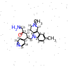 Cc1ccc2c(c1)c1c(n2CC(CC(=O)CN)c2ccncc2)CCN(C)C1